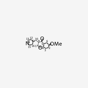 COc1ccc2c(c1)C(=O)C(Cc1ccncc1)CO2